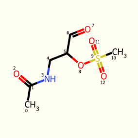 CC(=O)NCC([C]=O)OS(C)(=O)=O